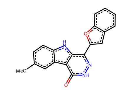 COc1ccc2[nH]c3c(-c4cc5ccccc5o4)n[nH]c(=O)c3c2c1